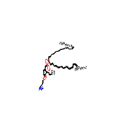 CC/C=C\CC1C(CC(=O)OC(CCCCCCCC/C=C\C/C=C\CCCCC)CCCCCCCC/C=C\C/C=C\CCCCC)CCC1OCCCN(C)C